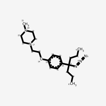 CCCC(CCC)(N=[N+]=[N-])c1ccc(OCCN2CCN(C)CC2)cc1